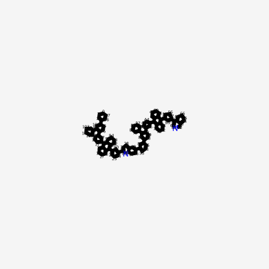 c1ccc(-c2ccc(-c3cccc(-c4c5ccccc5c(-c5cccc(-c6ccc7cc(-c8cccc(-c9ccc(-c%10cccc(-c%11c%12ccccc%12c(-c%12cccc(-c%13cncc%14ccccc%13%14)c%12)c%12ccccc%11%12)c%10)c(-c%10ccccc%10)c9)c8)ccc7n6)c5)c5ccccc45)c3)c(-c3ccccc3)c2)cc1